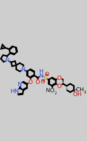 C[C@]1(O)CC[C@H]([C@@H]2COc3cc(S(=O)(=O)NC(=O)c4ccc(N5CCC6(CC5)CC(N5CCCC5c5ccccc5C5CC5)C6)cc4Oc4cnc5[nH]ccc5c4)cc([N+](=O)[O-])c3O2)CC1